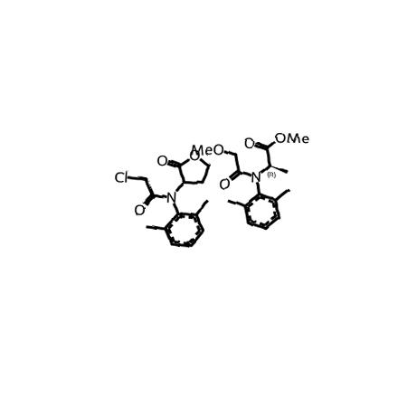 COCC(=O)N(c1c(C)cccc1C)[C@H](C)C(=O)OC.Cc1cccc(C)c1N(C(=O)CCl)C1CCOC1=O